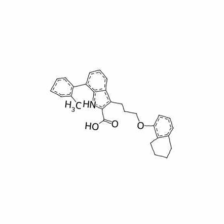 Cc1ccccc1-c1cccc2c(CCCOc3cccc4c3CCCC4)c(C(=O)O)[nH]c12